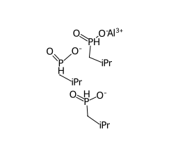 CC(C)C[PH](=O)[O-].CC(C)C[PH](=O)[O-].CC(C)C[PH](=O)[O-].[Al+3]